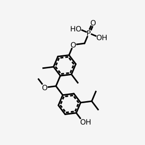 COC(c1ccc(O)c(C(C)C)c1)c1c(C)cc(OCP(=O)(O)O)cc1C